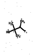 [CH2]C(C)(O)C(C)F